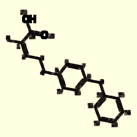 CC(=CCCc1ccc(Cc2ccccc2)cc1)C(=O)O